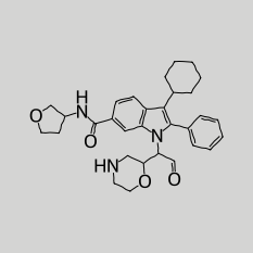 O=CC(C1CNCCO1)n1c(-c2ccccc2)c(C2CCCCC2)c2ccc(C(=O)NC3CCOC3)cc21